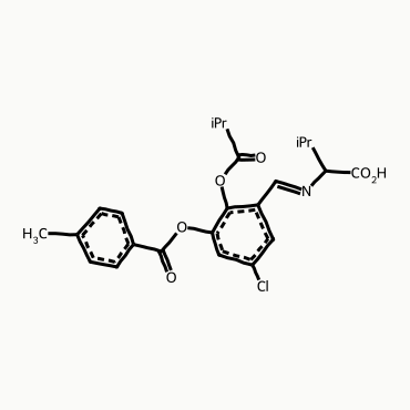 Cc1ccc(C(=O)Oc2cc(Cl)cc(C=NC(C(=O)O)C(C)C)c2OC(=O)C(C)C)cc1